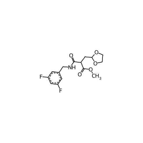 COC(=O)C(CC1OCCO1)C(=O)NCc1cc(F)cc(F)c1